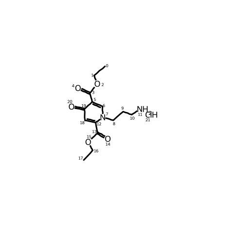 CCOC(=O)c1cn(CCCN)c(C(=O)OCC)cc1=O.Cl